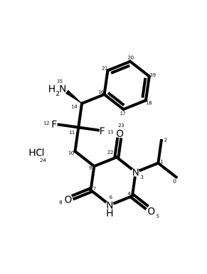 CC(C)N1C(=O)NC(=O)C(CC(F)(F)[C@@H](N)c2ccccc2)C1=O.Cl